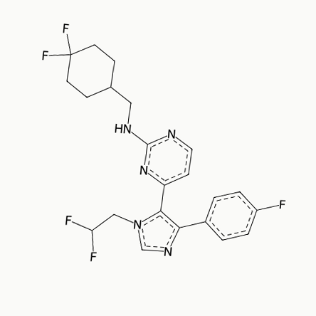 Fc1ccc(-c2ncn(CC(F)F)c2-c2ccnc(NCC3CCC(F)(F)CC3)n2)cc1